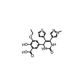 CCOc1cc(C2NC(=O)NC(c3cnn(C)c3)=C2c2ccsc2)cc(C(=O)O)c1O